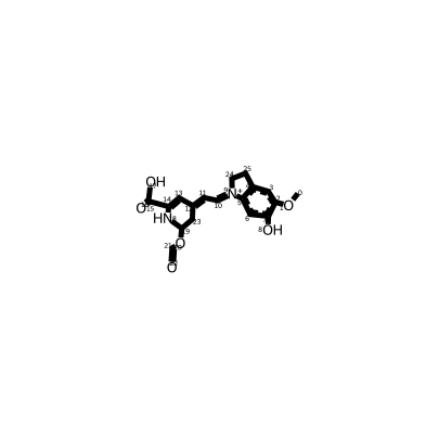 COc1cc2c(cc1O)/[N+](=C/C=C1/C=C(C(=O)O)NC(OC=O)C1)CC2